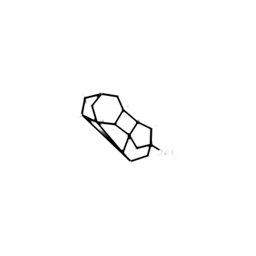 NC12CC3C4CC5CC6C(C1)C1(C2)C3C4(C5)C61